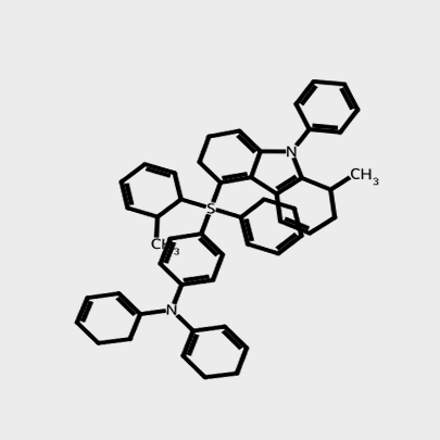 CC1CC=Cc2c1n(-c1ccccc1)c1c2=C(S(C2=CC=CCC2)(c2ccc(N(C3=CCCC=C3)C3=CC=CCC3)cc2)C2C=CC=CC2C)CCC=1